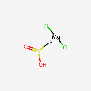 CC(C)S(=O)O.[Cl][Mg][Cl]